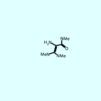 CNC(=O)C(N)=C(NC)NC